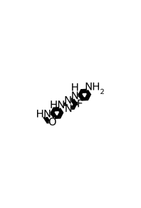 Nc1cccc(Nc2nc(Nc3ccc4c(c3)NC=CO4)ncc2F)c1